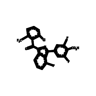 O=C(O)c1c(F)cc(-c2nn(C(=O)c3c(Cl)cccc3C(F)(F)F)c3cccc(F)c23)cc1F